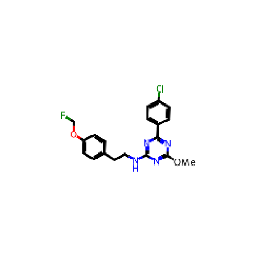 COc1nc(NCCc2ccc(OCF)cc2)nc(-c2ccc(Cl)cc2)n1